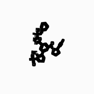 CC#CC1CCCN1C(=O)c1cc(-c2nnc([C@](C)(N)Cc3ccccc3)o2)cc(-c2cccc(S(C)(=O)=O)c2C#N)c1